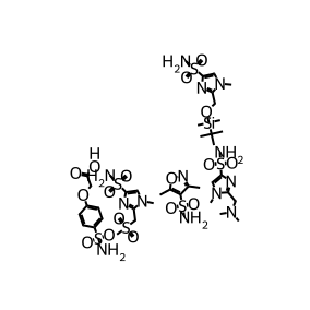 CN(C)Cc1nc(S(N)(=O)=O)cn1C.Cc1noc(C)c1S(N)(=O)=O.Cn1cc(S(N)(=O)=O)nc1CO[Si](C)(C)C(C)(C)C.Cn1cc(S(N)(=O)=O)nc1CS(C)(=O)=O.NS(=O)(=O)c1ccc(OCC(=O)O)cc1